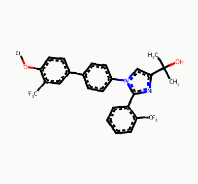 CCOc1ccc(-c2ccc(-n3cc(C(C)(C)O)nc3-c3ccccc3C(F)(F)F)cc2)cc1C(F)(F)F